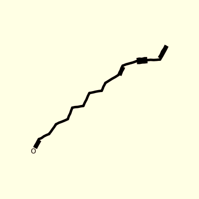 C=CC#CC=CCCCCCCCCC=O